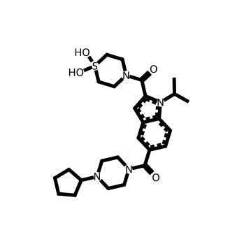 CC(C)n1c(C(=O)N2CCS(O)(O)CC2)cc2cc(C(=O)N3CCN(C4CCCC4)CC3)ccc21